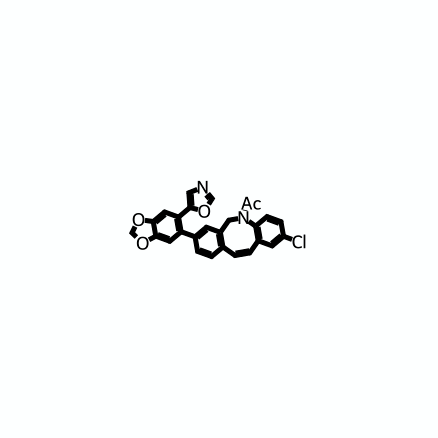 CC(=O)N1Cc2cc(-c3cc4c(cc3-c3cnco3)OCO4)ccc2/C=C\c2cc(Cl)ccc21